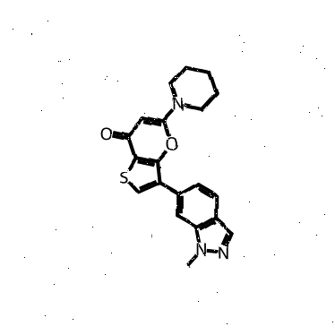 Cn1ncc2ccc(-c3csc4c(=O)cc(N5CCCCC5)oc34)cc21